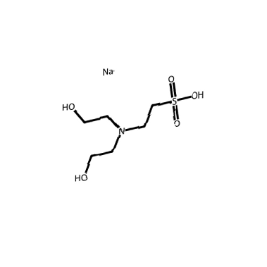 O=S(=O)(O)CCN(CCO)CCO.[Na]